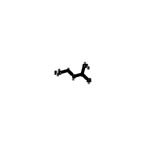 CC[C](OCC(F)(F)F)C(F)(F)F